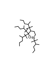 CCCC(C)C(C)(C)C1C[CH2][Al]([C](C)(C)C(C)CCC)[O]C1(C(C)(C)C(C)CCC)C(C)(C)C(C)CCC